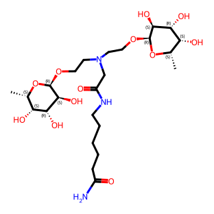 C[C@@H]1O[C@@H](OCCN(CCO[C@@H]2O[C@@H](C)[C@@H](O)[C@@H](O)[C@@H]2O)CC(=O)NCCCCCC(N)=O)[C@@H](O)[C@H](O)[C@@H]1O